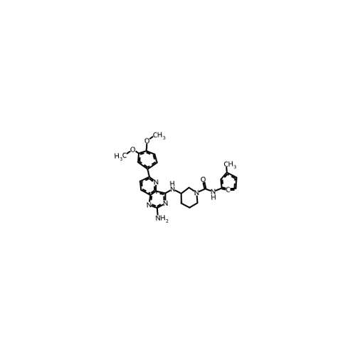 COc1ccc(-c2ccc3nc(N)nc(NC4CCCN(C(=O)Nc5cccc(C)c5)C4)c3n2)cc1OC